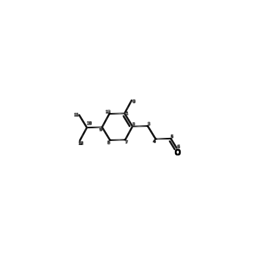 CC1=C(CCC=O)CCC(C(C)C)C1